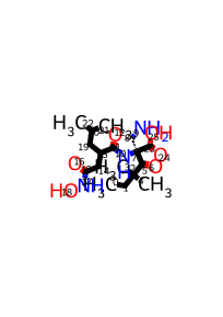 CCC(C)(C)C(=O)[C@@](CN)(NC(=O)C(CC(=O)NO)CC(C)C)C(=O)O